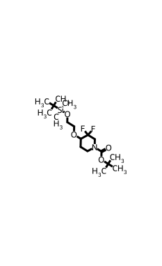 CC(C)(C)OC(=O)N1CCC(OCCO[Si](C)(C)C(C)(C)C)C(F)(F)C1